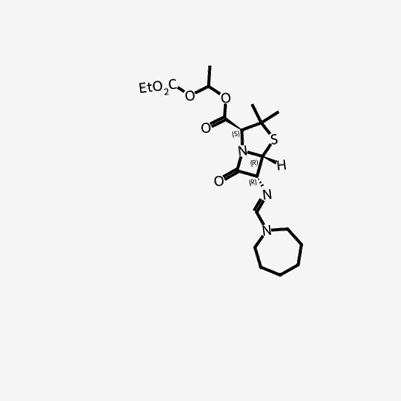 CCOC(=O)OC(C)OC(=O)[C@@H]1N2C(=O)[C@@H](N=CN3CCCCCC3)[C@H]2SC1(C)C